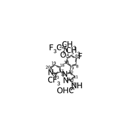 CC(C)(Oc1cc(F)cc(-c2cc(NC=O)nn2-c2cccnc2C(F)(F)F)c1)C(F)(F)F